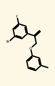 C=C(COc1cccc(C)c1)c1cc(F)cc(Br)c1